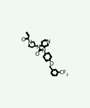 C=CC(=O)N1CCC(n2c(=O)n(-c3ccc(OCc4cccc(C(F)(F)F)c4)cc3)c3cnccc32)C1